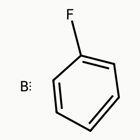 Fc1ccccc1.[B]